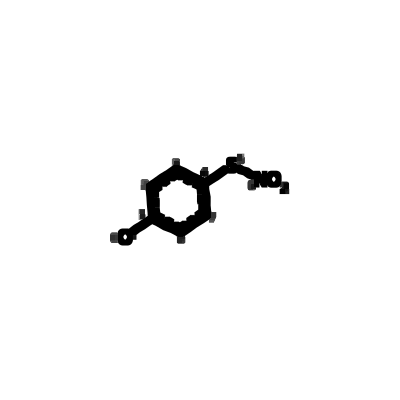 [O]c1ccc(S[N+](=O)[O-])cc1